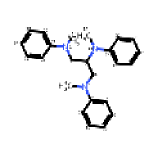 CN(CC(CN(C)c1ccccc1)N(C)c1ccccc1)c1ccccc1